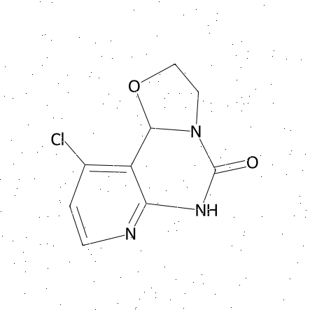 O=C1Nc2nccc(Cl)c2C2OCCN12